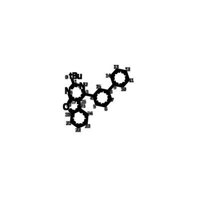 CC(C)(C)c1nc(-c2cccc(-c3ccccc3)c2)c2c(n1)oc1ccccc12